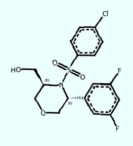 O=S(=O)(c1ccc(Cl)cc1)N1[C@H](CO)COC[C@H]1c1cc(F)cc(F)c1